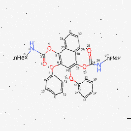 CCCCCCNC(=O)Oc1c(Oc2ccccc2)c(Oc2ccccc2)c(OC(=O)NCCCCCC)c2ccccc12